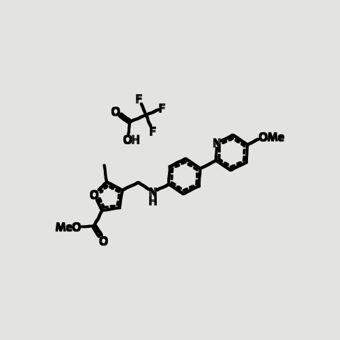 COC(=O)c1cc(CNc2ccc(-c3ccc(OC)cn3)cc2)c(C)o1.O=C(O)C(F)(F)F